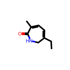 CCC1=CC=C(C)C(=O)NC1